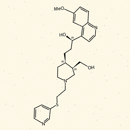 COc1ccc2nccc([C@H](O)CC[C@@H]3CCN(CCSc4cccnc4)C[C@@H]3CO)c2c1